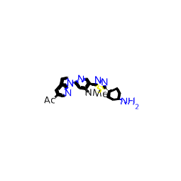 CNc1cc(-n2ccc3cc(C(C)=O)cnc32)ncc1-c1nnc([C@H]2CC[C@H](N)CC2)s1